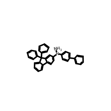 NN(c1ccc(-c2ccccc2)cc1)c1ccc2c(c1)C(c1ccccc1)(c1ccccc1)c1ccccc1-2